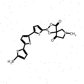 Bc1ccc(-c2ccc(-c3ccc(B4OC(=O)C5(CN(C)CC5=O)O4)s3)s2)s1